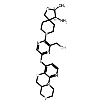 C[C@@H]1OCC2(CCN(c3ncc(Sc4ccnc5c4OCC4CSCCN54)nc3CO)CC2)[C@@H]1N